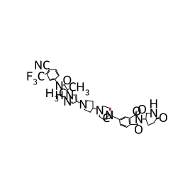 CC(C)(C(=O)Nc1ccc(C#N)c(C(F)(F)F)c1)n1cc(N2CCC(N3CC4CCC(CN(c5ccc6c(c5)C(=O)N(C5CCC(=O)NC5=O)C6=O)C4)C3)CC2)cn1